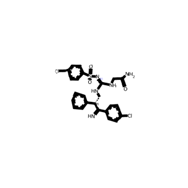 N=C(c1ccc(Cl)cc1)[C@@H](CN/C(=N\S(=O)(=O)c1ccc(Cl)cc1)NCC(N)=O)c1ccccc1